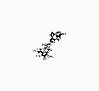 CC(=O)OC[C@H](OC(C)=O)C1OC(OP(=O)(O)OP(=O)(S)OC[C@@H]2C[C@@H](N3CCC3)[C@H](n3cnc4c(N)ncnc43)O2)C(OC(C)=O)C(O)C1OC(C)=O